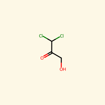 O=C(CO)C(Cl)Cl